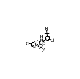 C[C@H](NC(=O)c1cc(Cl)cc(C(C)(C)C#N)c1)c1nc(N(C)C)nn1-c1ncc(Cl)cn1